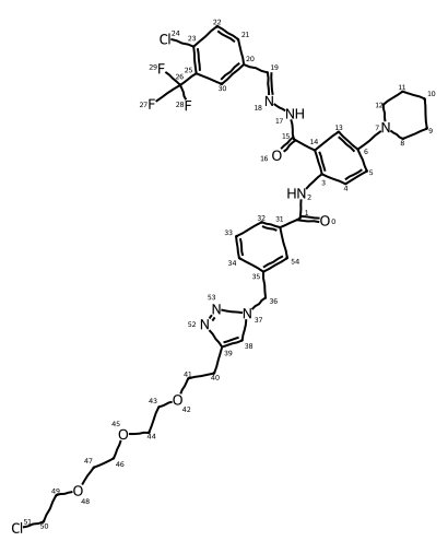 O=C(Nc1ccc(N2CCCCC2)cc1C(=O)N/N=C/c1ccc(Cl)c(C(F)(F)F)c1)c1cccc(Cn2cc(CCOCCOCCOCCCl)nn2)c1